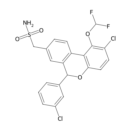 NS(=O)(=O)Cc1ccc2c(c1)C(c1cccc(Cl)c1)Oc1ccc(Cl)c(OC(F)F)c1-2